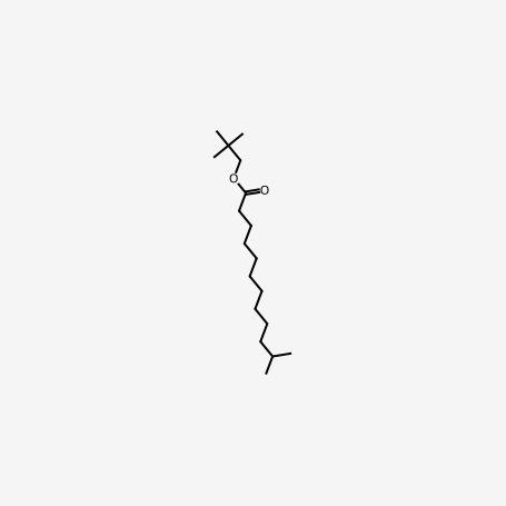 CC(C)CCCCCCCCCC(=O)OCC(C)(C)C